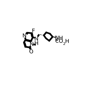 Cn1c(=O)ccc2ncc(F)c(NC[C@H]3CC[C@H](NC(=O)O)CC3)c21